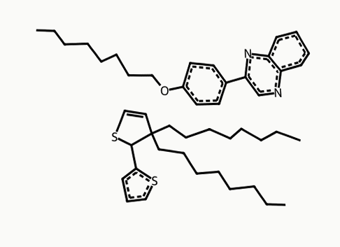 CCCCCCCCC1(CCCCCCCC)C=CSC1c1cccs1.CCCCCCCCOc1ccc(-c2cnc3ccccc3n2)cc1